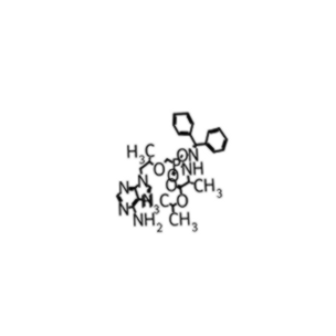 CC(C)OC(=O)[C@H](C)NP(=O)(CO[C@H](C)Cn1cnc2c(N)ncnc21)ON=C(c1ccccc1)c1ccccc1